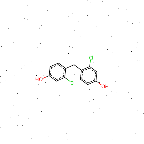 Oc1ccc(Cc2ccc(O)cc2Cl)c(Cl)c1